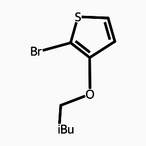 CCC(C)COc1ccsc1Br